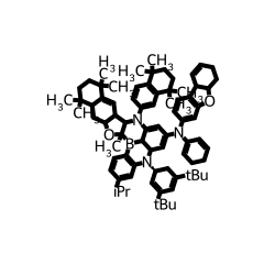 CC(C)c1ccc2c(c1)N([C@@H]1C=C(C(C)(C)C)C=C(C(C)(C)C)C1)C1C=C(N(C3=CCCC=C3)c3ccc4c(c3)OC3CCC=CC43)C=C3C1B2C1(C)OC2CC4C(=CC2C1N3c1ccc2c(c1)C(C)(C)CCC2(C)C)C(C)(C)CCC4(C)C